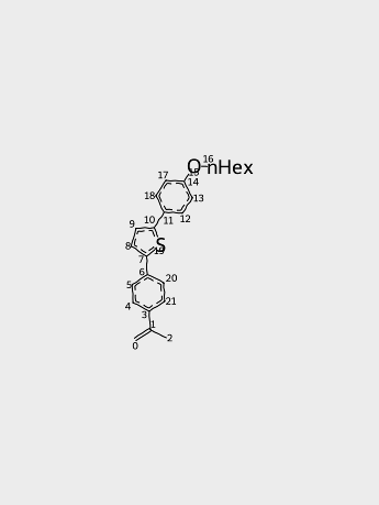 C=C(C)c1ccc(-c2ccc(-c3ccc(OCCCCCC)cc3)s2)cc1